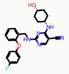 N#Cc1cnc(NCc2ccccc2Oc2ccc(F)cc2)nc1N[C@H]1CC[C@@H](O)CC1